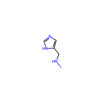 INCc1cnc[nH]1